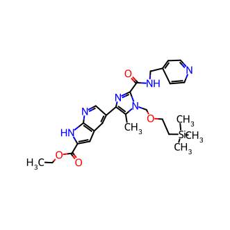 CCOC(=O)c1cc2cc(-c3nc(C(=O)NCc4ccncc4)n(COCC[Si](C)(C)C)c3C)cnc2[nH]1